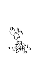 [2H]c1cc(B2OC(C)(C)C(C)(C)O2)cc2c1COCC2